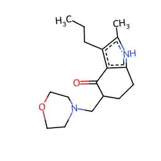 CCCc1c(C)[nH]c2c1C(=O)C(CN1CCOCC1)CC2